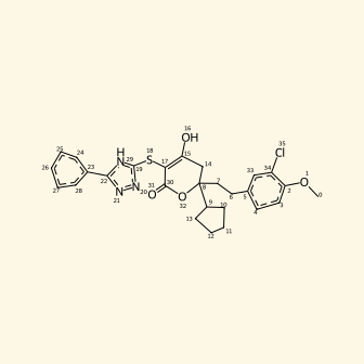 COc1ccc(CCC2(C3CCCC3)CC(O)=C(Sc3nnc(-c4ccccc4)[nH]3)C(=O)O2)cc1Cl